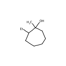 CCC1CCCCCC1(C)O